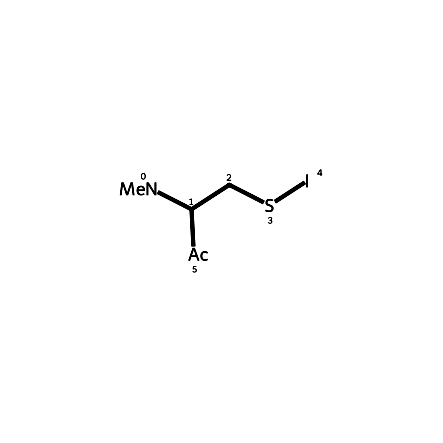 CNC(CSI)C(C)=O